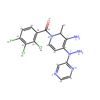 CC1C(N)=C(N(N)c2cnccn2)C=CN1C(=O)c1ccc(F)c(Cl)c1Cl